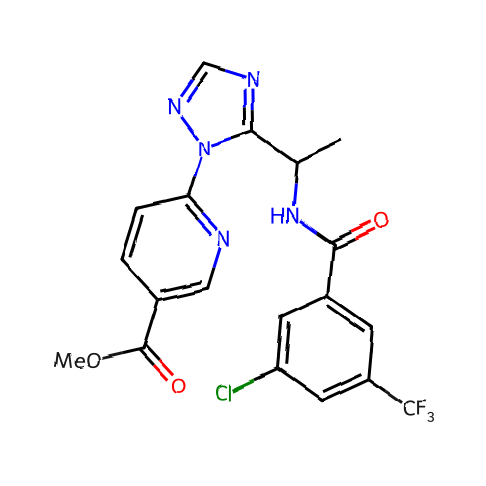 COC(=O)c1ccc(-n2ncnc2C(C)NC(=O)c2cc(Cl)cc(C(F)(F)F)c2)nc1